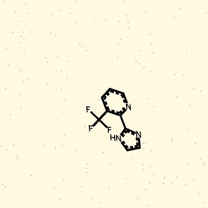 FC(F)(F)c1cccnc1-c1ncc[nH]1